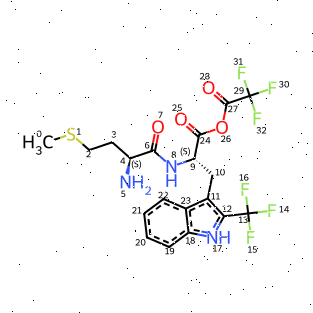 CSCC[C@H](N)C(=O)N[C@@H](Cc1c(C(F)(F)F)[nH]c2ccccc12)C(=O)OC(=O)C(F)(F)F